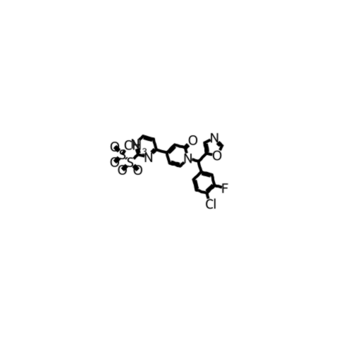 CS(=O)(=O)S(=O)(=O)c1nccc(-c2ccn(C(c3ccc(Cl)c(F)c3)c3cnco3)c(=O)c2)n1